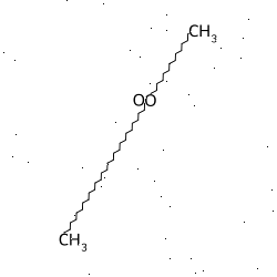 CCCCCCCCCCCCCCCCCCCCCCCCCCCC(=O)OCCCCCCCCCCCCCC